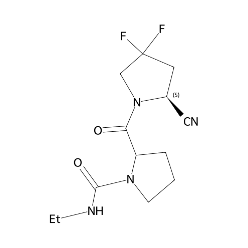 CCNC(=O)N1CCCC1C(=O)N1CC(F)(F)C[C@H]1C#N